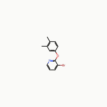 Cc1ccc(Oc2ncccc2Br)cc1C